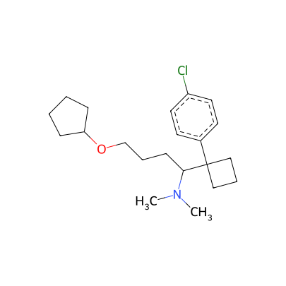 CN(C)C(CCCOC1CCCC1)C1(c2ccc(Cl)cc2)CCC1